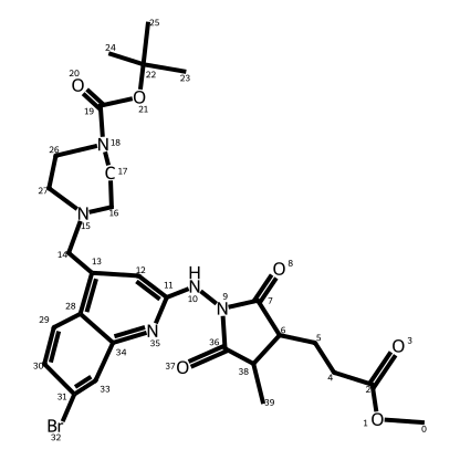 COC(=O)CCC1C(=O)N(Nc2cc(CN3CCN(C(=O)OC(C)(C)C)CC3)c3ccc(Br)cc3n2)C(=O)C1C